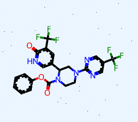 O=C(Oc1ccccc1)N1CCN(c2ncc(C(F)(F)F)cn2)CC1c1c[nH]c(=O)c(C(F)(F)F)c1